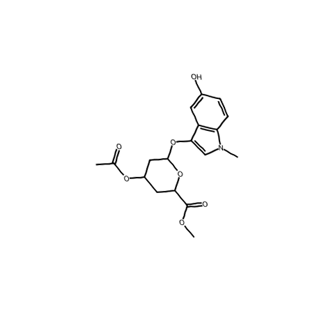 COC(=O)C1CC(OC(C)=O)CC(Oc2cn(C)c3ccc(O)cc23)O1